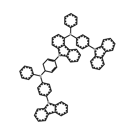 C1=CC(N(c2ccccc2)c2ccc(-n3c4ccccc4c4ccccc43)cc2)CC=C1n1c2ccccc2c2c(N(c3ccccc3)c3ccc(-n4c5ccccc5c5ccccc54)cc3)cccc21